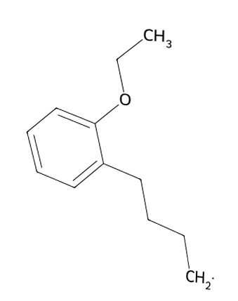 [CH2]CCCc1ccccc1OCC